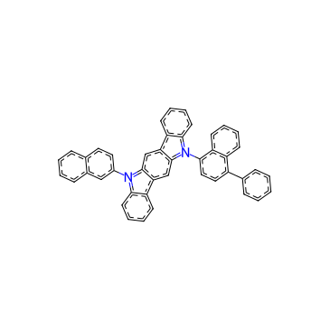 c1ccc(-c2ccc(-n3c4ccccc4c4cc5c(cc43)c3ccccc3n5-c3ccc4ccccc4c3)c3ccccc23)cc1